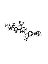 CS(=O)(=O)c1csc(-c2nc(Nc3ccc(N4CC5CC(C4)N5)cc3C3CC3)ncc2C(F)(F)F)c1